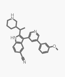 COc1cccc(-c2cncc(-c3c(C(C)C4CCCNC4)[nH]c4ccc(C#N)cc34)c2)c1